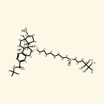 CC(C)(C)OC(=O)c1ccc2c(c1)C[C@@H](CCCCCCCCC[S+]([O-])CCCC(F)(F)C(F)(F)F)[C@@H]1[C@@H]2CC[C@]2(C)[C@@H](O)CC[C@@H]12